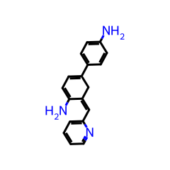 NC1=CC=C(c2ccc(N)cc2)CC1=Cc1ccccn1